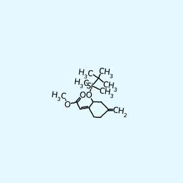 C=C1CCC(=CC(=O)OC)C(O[Si](C)(C)C(C)(C)C)C1